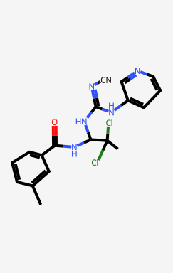 Cc1cccc(C(=O)NC(N/C(=N/C#N)Nc2cccnc2)C(C)(Cl)Cl)c1